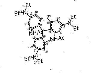 CCN(CC)c1ccc(C(c2ccc(N(CC)CC)cc2NC(C)=O)c2ccc(N(CC)CC)cc2NC(C)=O)c(C)c1